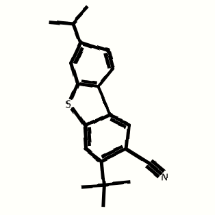 CC(C)c1ccc2c(c1)sc1cc(C(C)(C)C)c(C#N)cc12